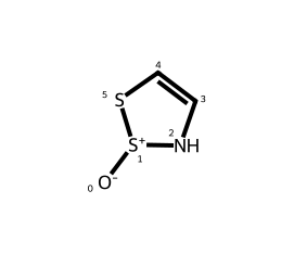 [O-][S+]1NC=CS1